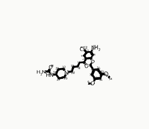 COc1cc(COc2cc(N)c(Cl)cc2C(=O)CCCCN2CCC(NC(N)=O)CC2)cc(OC)c1